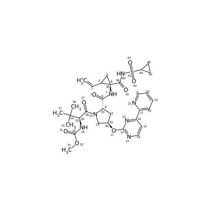 C=CC1C[C@]1(NC(=O)[C@@H]1C[C@@H](Oc2nccc(-c3ccccn3)n2)CN1C(=O)[C@@H](NC(=O)OC)C(C)(C)C)C(=O)NS(=O)(=O)C1CC1